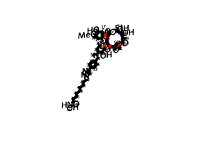 CC[C@H]1OC(=O)[C@H](C)[C@@H](O[C@H]2C[C@@](C)(OC)[C@@H](O)[C@H](C)O2)[C@H](C)[C@@H](O[C@@H]2O[C@H](C)C[C@H](N(C)Cc3ccc(-c4cn(CCCCCCCCC(=O)NO)nn4)cc3)[C@H]2O)[C@@]2(C)C[C@@H](CO2)C(=O)[C@H](C)[C@@H](O)[C@]1(C)O